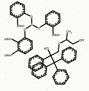 CC(CO)OCC(O)(c1ccccc1)C(c1ccccc1)(c1ccccc1)c1ccccc1.CCCCCCCCCc1ccccc1OP(Oc1ccccc1CCCCCCCCC)Oc1cccc(CCCCCCCCC)c1CCCCCCCCC